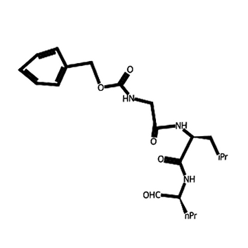 CCC[C@@H](C=O)NC(=O)[C@H](CC(C)C)NC(=O)CNC(=O)OCc1ccccc1